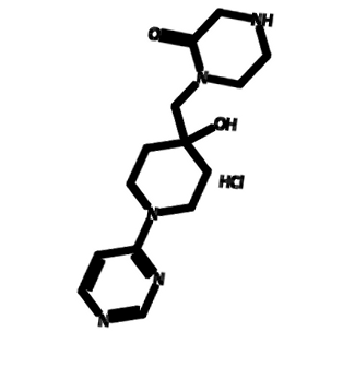 Cl.O=C1CNCCN1CC1(O)CCN(c2ccncn2)CC1